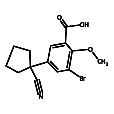 COc1c(Br)cc(C2(C#N)CCCC2)cc1C(=O)O